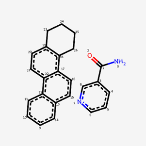 NC(=O)c1cccnc1.c1ccc2c(c1)ccc1c3c(ccc12)CCCC3